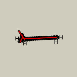 CCCCCCCCCCCCCCCC(=O)OCCC[C@H](CSC[C@H](N)C(=O)N[C@@H](CO)C(=O)NCCOCCOCCOCCOCCOCCOCCOCCOCCOCCOCCOCCOCCOCCOCCOCCOCCOCCOCCOCCOCCOCCOCCOCCOCCOCCOCCOCCOCCC(=O)NCC(=O)O)OC(=O)CCCCCCCCCCCCCCC